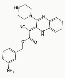 N#C/C(C(=O)OCc1cccc(N)c1)=C1/Nc2ccccc2N=C1N1CCNCC1